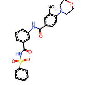 O=C(Nc1cccc(C(=O)NS(=O)(=O)c2ccccc2)c1)c1ccc(N2CCOCC2)c([N+](=O)[O-])c1